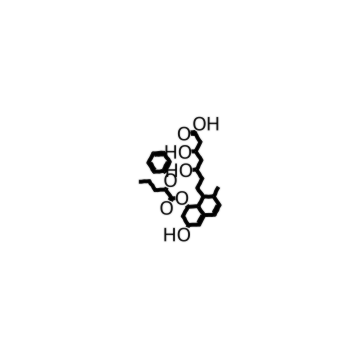 CCCC(Oc1ccccc1)C(=O)OC1CC(O)C=C2C=CC(C)C(CCC(O)CC(O)CC(=O)O)C21